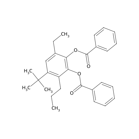 CCCc1c(C(C)(C)C)cc(CC)c(OC(=O)c2ccccc2)c1OC(=O)c1ccccc1